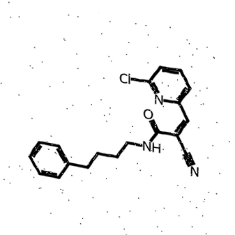 N#CC(=Cc1cccc(Cl)n1)C(=O)NCCCCc1ccccc1